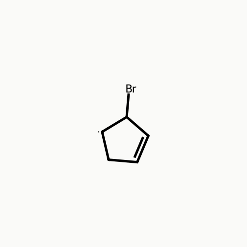 BrC1[CH]CC=C1